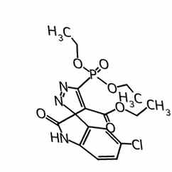 CCOC(=O)C1=C(P(=O)(OCC)OCC)N=NC12C(=O)Nc1ccc(Cl)cc12